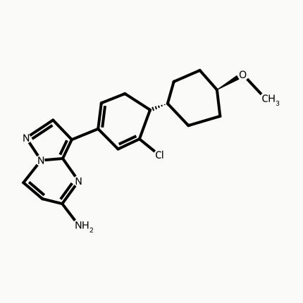 CO[C@H]1CC[C@H](C2CC=C(c3cnn4ccc(N)nc34)C=C2Cl)CC1